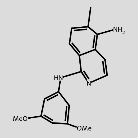 COc1cc(Nc2nccc3c(N)c(C)ccc23)cc(OC)c1